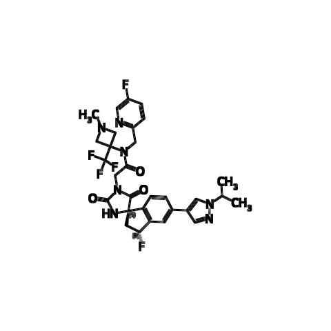 CC(C)n1cc(-c2ccc3c(c2)[C@H](F)C[C@]32NC(=O)N(CC(=O)N(Cc3ccc(F)cn3)C3(C(F)(F)F)CN(C)C3)C2=O)cn1